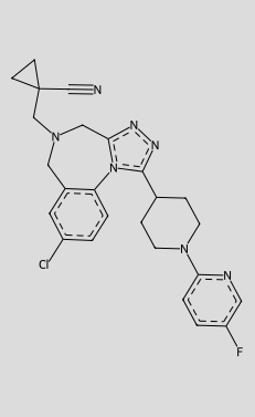 N#CC1(CN2Cc3cc(Cl)ccc3-n3c(nnc3C3CCN(c4ccc(F)cn4)CC3)C2)CC1